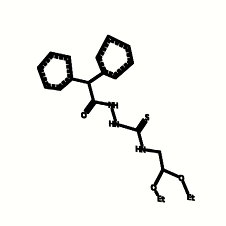 CCOC(CNC(=S)NNC(=O)C(c1ccccc1)c1ccccc1)OCC